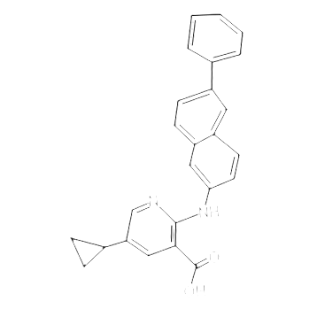 O=C(O)c1cc(C2CC2)cnc1Nc1ccc2cc(-c3ccccc3)ccc2c1